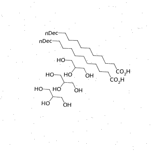 CCCCCCCCCCCCCCCCCCCC(=O)O.CCCCCCCCCCCCCCCCCCCC(=O)O.OCC(O)CO.OCC(O)CO.OCC(O)CO